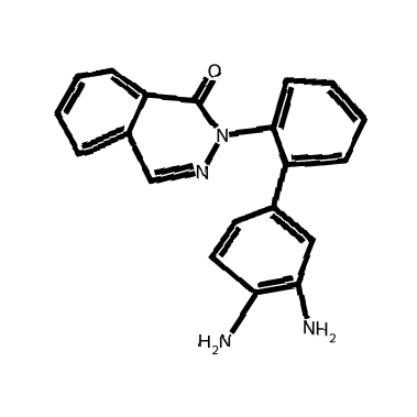 Nc1ccc(-c2ccccc2-n2ncc3ccccc3c2=O)cc1N